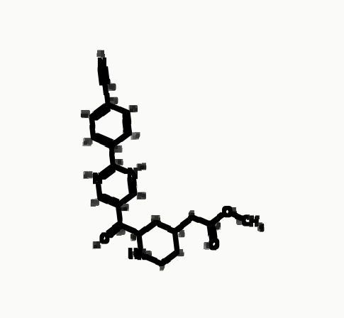 COC(=O)CC1CCNC(C(=O)c2cnc(-c3ccc(C#N)cc3)nc2)C1